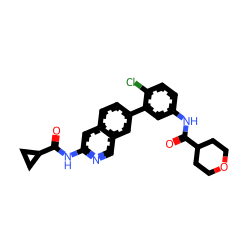 O=C(Nc1ccc(Cl)c(-c2ccc3cc(NC(=O)C4CC4)ncc3c2)c1)C1CCOCC1